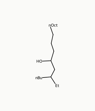 CCCCCCCCCCCC(O)CC(CC)CCCC